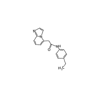 CCc1ccc(NC(=O)Cc2cccc3nccn23)cc1